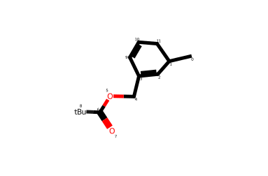 CC1C=C(COC(=O)C(C)(C)C)C=CC1